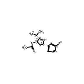 CC(=O)O[C@@H]1C[C@@H](c2cccc(F)c2)N[C@H]1C(C)C